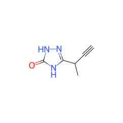 C#CC(C)c1n[nH]c(=O)[nH]1